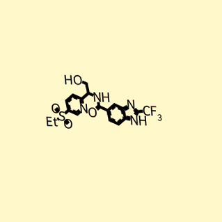 CCS(=O)(=O)c1ccc(C(CO)NC(=O)c2ccc3[nH]c(C(F)(F)F)nc3c2)nc1